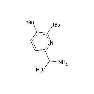 CC(N)c1ccc(C(C)(C)C)c(C(C)(C)C)n1